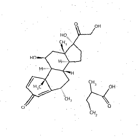 CCC(C)C(=O)O.C[C@H]1C[C@@H]2[C@H]([C@@H](O)C[C@@]3(C)[C@H]2CC[C@]3(O)C(=O)CO)[C@@]2(C)C=CC(=O)C=C12